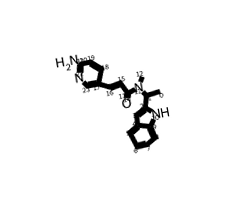 CC(c1cc2ccccc2[nH]1)N(C)C(=O)C=Cc1ccc(N)nc1